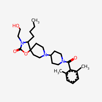 CCCCC1N(CCO)C(=O)OC12CCN(C1CCN(C(=O)c3c(C)cccc3C)CC1)CC2